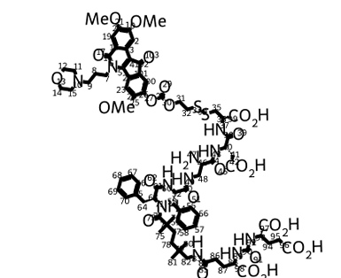 COc1cc2c3c(n(CCCN4CCOCC4)c(=O)c2cc1OC)-c1cc(OC)c(OC(=O)OCCSSC[C@H](NC(=O)[C@H](CC(=O)O)NC(=O)[C@@H](N)CNC(=O)[C@H](Cc2ccccc2)NC(=O)[C@H](Cc2ccccc2)NC(=O)C(C)(C)CCC(C)(C)CNC(=O)CC[C@H](NC(=O)N[C@@H](CCC(=O)O)C(=O)O)C(=O)O)C(=O)O)cc1C3=O